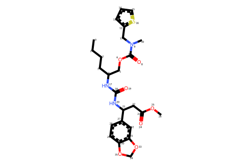 CCCCC(COC(=O)N(C)Cc1cccs1)NC(=O)NC(CC(=O)OC)c1ccc2c(c1)OCO2